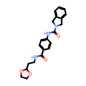 O=C(NCCC1OCCO1)c1ccc(NC(=O)N2Cc3ccccc3C2)cc1